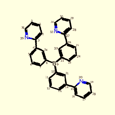 c1ccc(-c2cccc(B(c3cccc(-c4ccccn4)c3)c3cccc(-c4ccccn4)c3)c2)nc1